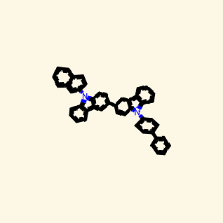 C1=CC(c2ccc3c(c2)c2ccccc2n3-c2ccc3ccccc3c2)Cc2c1n(-c1ccc(-c3ccccc3)cc1)c1ccccc21